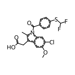 COc1cc2c(CC(=O)O)c(C)n(C(=O)c3ccc(SC(F)F)cc3)c2cc1Cl